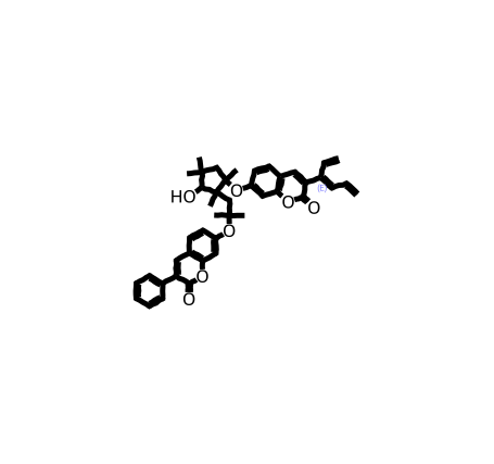 C=C/C=C(\C=C)c1cc2ccc(OC3(C)CC(C)(C)C(O)C3(C)CC(C)(C)Oc3ccc4cc(-c5ccccc5)c(=O)oc4c3)cc2oc1=O